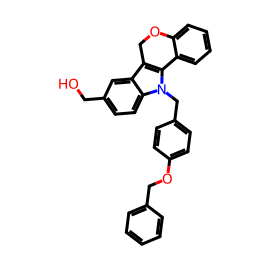 OCc1ccc2c(c1)c1c(n2Cc2ccc(OCc3ccccc3)cc2)-c2ccccc2OC1